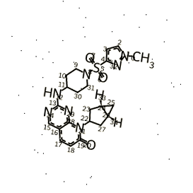 Cn1ccc(S(=O)(=O)N2CCC(Nc3ncc4ccc(=O)n(C5C[C@@H]6C[C@@H]6C5)c4n3)CC2)n1